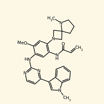 C=CC(=O)Nc1cc(Nc2nccc(-c3cn(C)c4ccccc34)n2)c(OC)cc1N1CC2(CCCN2C)C1